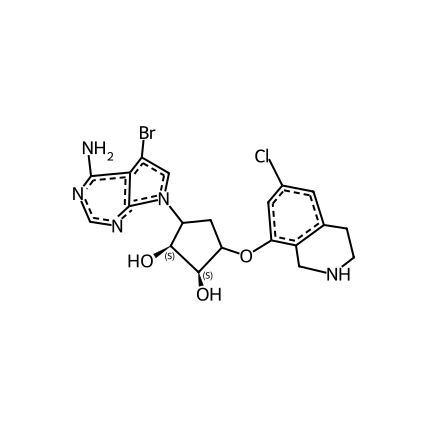 Nc1ncnc2c1c(Br)cn2C1CC(Oc2cc(Cl)cc3c2CNCC3)[C@@H](O)[C@H]1O